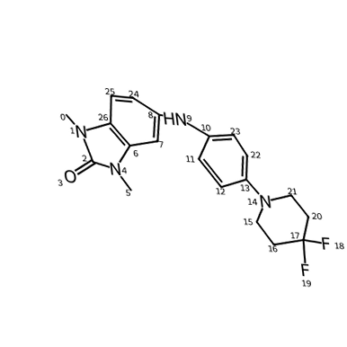 Cn1c(=O)n(C)c2cc(Nc3ccc(N4CCC(F)(F)CC4)cc3)ccc21